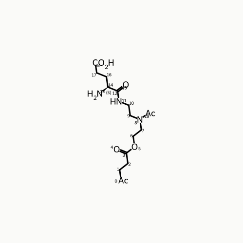 CC(=O)CCC(=O)OCCN(CCNC(=O)[C@@H](N)CCC(=O)O)C(C)=O